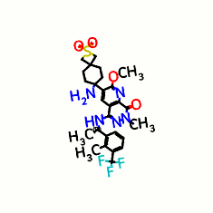 COc1nc2c(=O)n(C)nc(N[C@H](C)c3cccc(C(F)(F)F)c3C)c2cc1C1(N)CCC2(CC1)CS(=O)(=O)C2